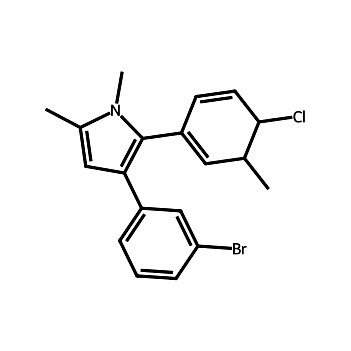 Cc1cc(-c2cccc(Br)c2)c(C2=CC(C)C(Cl)C=C2)n1C